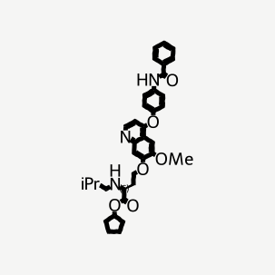 COc1cc2c(Oc3ccc(NC(=O)c4ccccc4)cc3)ccnc2cc1OCC[C@H](NCC(C)C)C(=O)OC1CCCC1